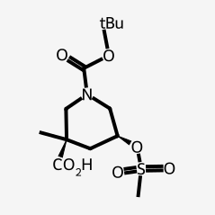 CC(C)(C)OC(=O)N1C[C@@H](OS(C)(=O)=O)C[C@@](C)(C(=O)O)C1